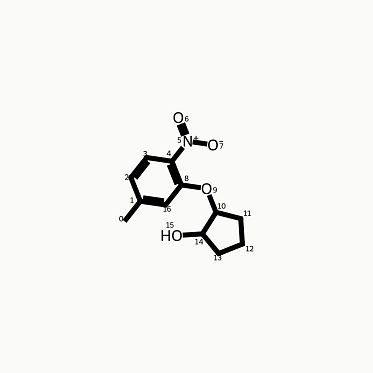 Cc1ccc([N+](=O)[O-])c(OC2CCCC2O)c1